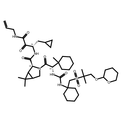 C=CCNC(=O)C(=O)[C@H](CC1CC1)NC(=O)[C@@H]1C2C(CN1C(=O)[C@@H](NC(=O)NC1(CS(=O)(=O)C(C)(C)COC3CCCCO3)CCCCC1)C1(C)CCCCC1)C2(C)C